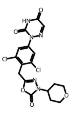 O=c1cnn(-c2cc(Cl)c(Cc3nn(C4CCOCC4)c(=O)o3)c(Cl)c2)c(=O)[nH]1